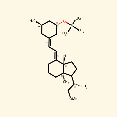 COC[C@@H](C)C1CC[C@H]2/C(=C/C=C3/C[C@@H](C)C[C@H](O[Si](C)(C)C(C)(C)C)C3)CCC[C@]12C